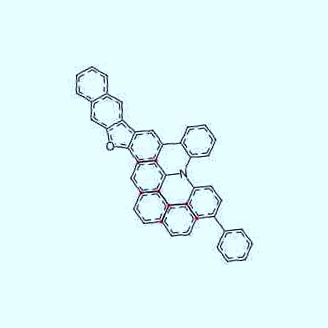 c1ccc(-c2ccc(N(c3ccccc3-c3ccccc3)c3ccccc3-c3ccc4oc5cc6ccccc6cc5c4c3)c(-c3ccccc3)c2)cc1